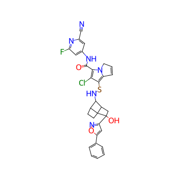 N#Cc1cc(NC(=O)c2c(Cl)c(SNC3C4CCC45C3CC5(O)c3cc(-c4ccccc4)on3)c3n2CC=C3)cc(F)n1